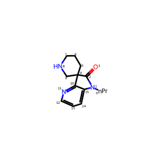 CCCN1C(=O)C2(CCCNC2)c2ncccc21